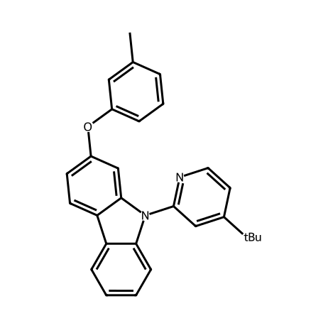 Cc1cccc(Oc2ccc3c4ccccc4n(-c4cc(C(C)(C)C)ccn4)c3c2)c1